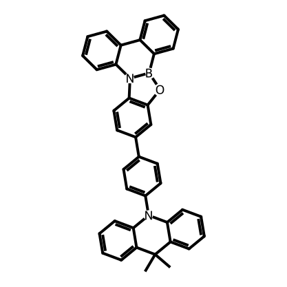 CC1(C)c2ccccc2N(c2ccc(-c3ccc4c(c3)OB3c5ccccc5-c5ccccc5N34)cc2)c2ccccc21